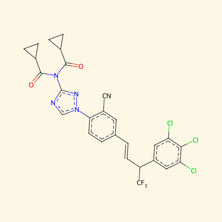 N#Cc1cc(C=CC(c2cc(Cl)c(Cl)c(Cl)c2)C(F)(F)F)ccc1-n1cnc(N(C(=O)C2CC2)C(=O)C2CC2)n1